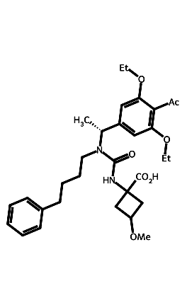 CCOc1cc([C@@H](C)N(CCCCc2ccccc2)C(=O)NC2(C(=O)O)CC(OC)C2)cc(OCC)c1C(C)=O